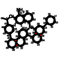 CC(Oc1ccc2c(N(c3cccc(-c4ccccc4)c3)c3ccc4ccccc4c3-c3ccccc3)cccc2c1N)c1ccc(-c2ccccc2)cc1